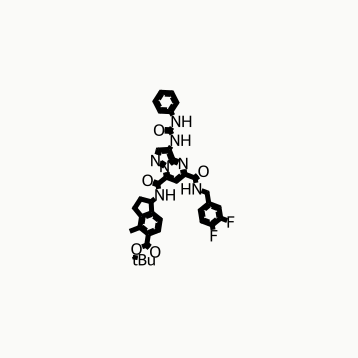 Cc1c(C(=O)OC(C)(C)C)ccc2c1CCC2NC(=O)c1cc(C(=O)NCc2ccc(F)c(F)c2)nc2c(NC(=O)Nc3ccccc3)cnn12